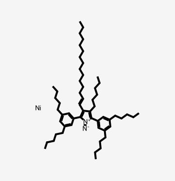 CCCCCCCCCCCCCC=CC1=C(c2cc(CCCCC)cc(CCCCC)c2)[N+](=[N-])C(c2cc(CCCCC)cc(CCCCC)c2)=C1CCCCCC.[Ni]